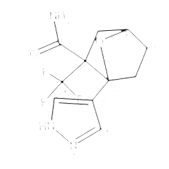 NC(=O)C1(C(F)(F)F)CC2CCC1(c1cn[nH]c1)O2